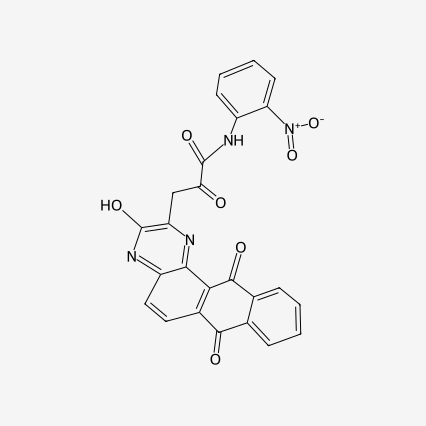 O=C(Cc1nc2c3c(ccc2nc1O)C(=O)c1ccccc1C3=O)C(=O)Nc1ccccc1[N+](=O)[O-]